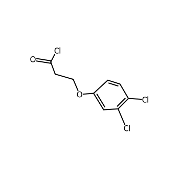 O=C(Cl)CCOc1ccc(Cl)c(Cl)c1